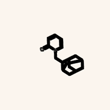 O=c1ccccn1CC1C2CC3CC(C2)CC1C3